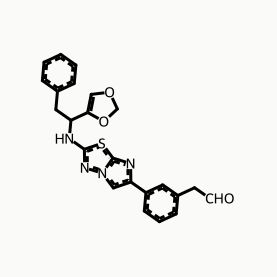 O=CCc1cccc(-c2cn3nc(NC(Cc4ccccc4)C4=COCO4)sc3n2)c1